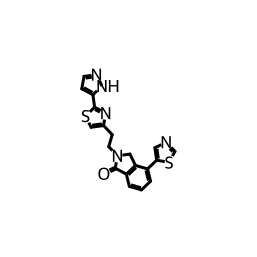 O=C1c2cccc(-c3cncs3)c2CN1CCc1csc(-c2ccn[nH]2)n1